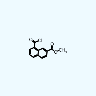 COC(=O)c1ccc2cccc(C(=O)Cl)c2c1